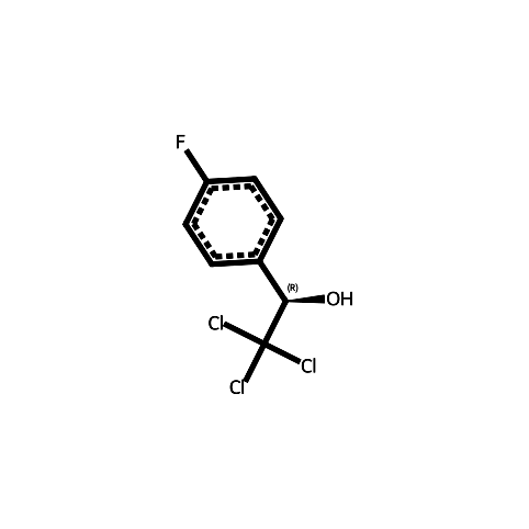 O[C@H](c1ccc(F)cc1)C(Cl)(Cl)Cl